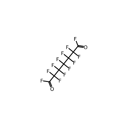 O=C(F)C(F)(F)C(F)(F)C(F)(F)C(F)(F)C(F)(F)C(=O)F